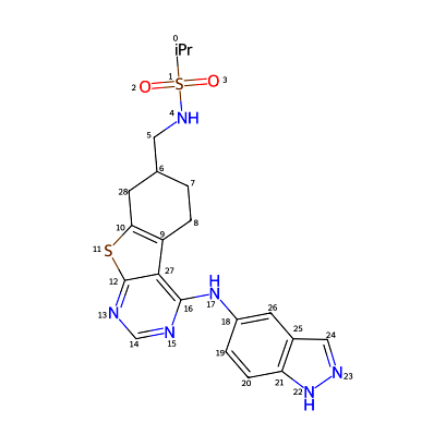 CC(C)S(=O)(=O)NCC1CCc2c(sc3ncnc(Nc4ccc5[nH]ncc5c4)c23)C1